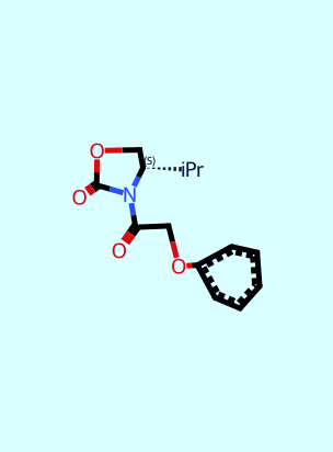 CC(C)[C@H]1COC(=O)N1C(=O)COc1ccccc1